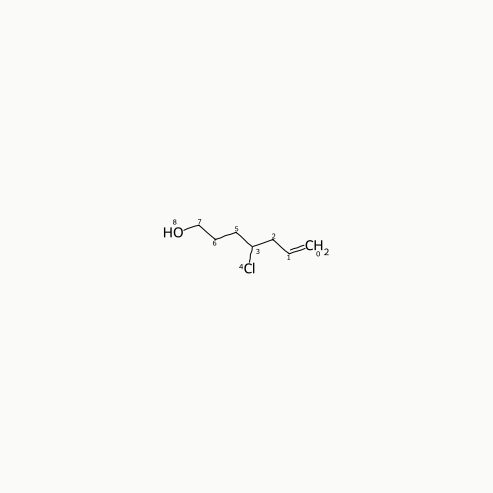 C=CCC(Cl)CCCO